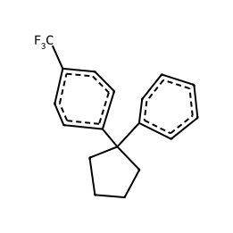 FC(F)(F)c1ccc(C2(c3ccccc3)CCCC2)cc1